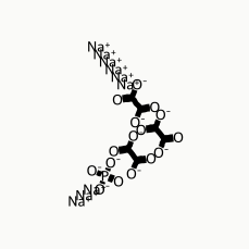 O=C([O-])C(=O)[O-].O=C([O-])C(=O)[O-].O=C([O-])C(=O)[O-].O=P([O-])([O-])[O-].[Na+].[Na+].[Na+].[Na+].[Na+].[Na+].[Na+].[Na+].[Na+]